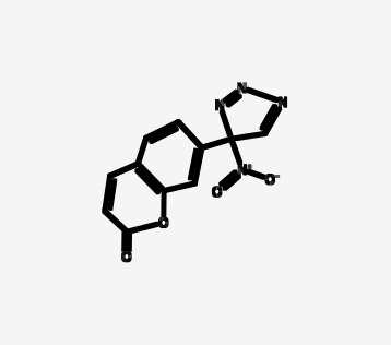 O=c1ccc2ccc(C3([N+](=O)[O-])C=NN=N3)cc2o1